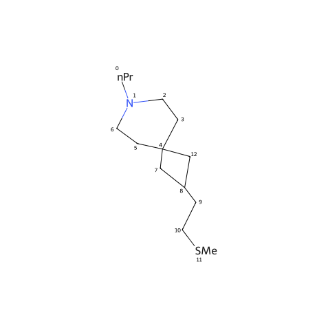 CCCN1CCC2(CC1)CC(CCSC)C2